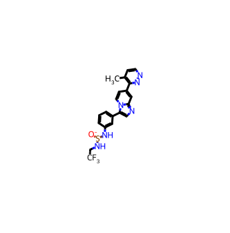 Cc1ccnnc1-c1ccn2c(-c3cccc(N[S+]([O-])NCC(F)(F)F)c3)cnc2c1